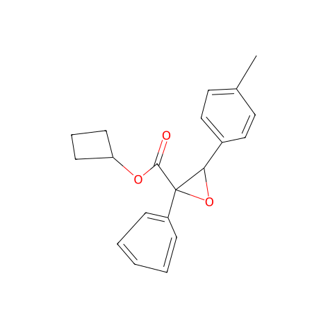 Cc1ccc(C2OC2(C(=O)OC2CCC2)c2ccccc2)cc1